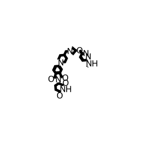 CNc1ccc(OC2CN(CC3CCN(c4ccc5c(c4)C(=O)N(C4CCC(=O)NC4=O)C5=O)CC3)C2)nn1